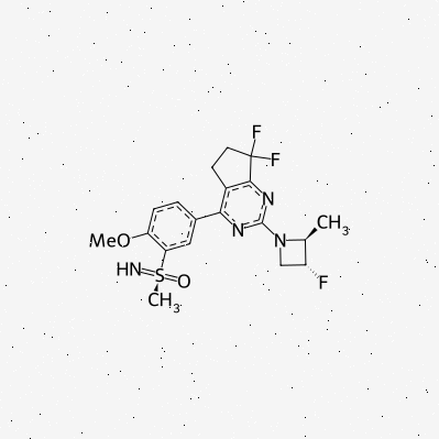 COc1ccc(-c2nc(N3C[C@@H](F)[C@@H]3C)nc3c2CCC3(F)F)cc1[S@@](C)(=N)=O